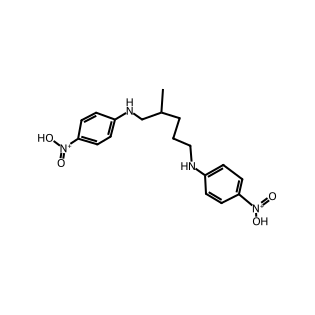 CC(CCCNc1ccc([N+](=O)O)cc1)CNc1ccc([N+](=O)O)cc1